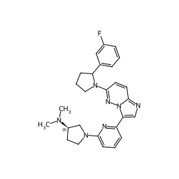 CN(C)[C@@H]1CCN(c2cccc(-c3cnc4ccc(N5CCCC5c5cccc(F)c5)nn34)n2)C1